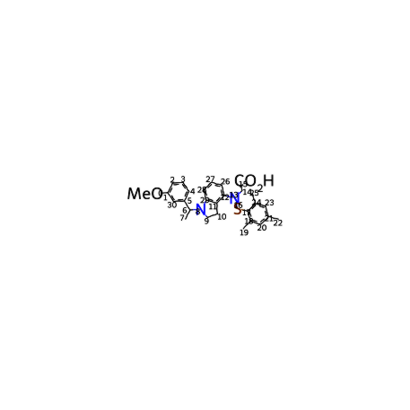 COc1cccc(C(C)N2CCc3c(N(CC(=O)O)Sc4c(C)cc(C)cc4C)cccc32)c1